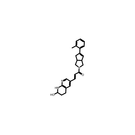 Cc1ccccc1C1=CC2CN(C(=O)/C=C/c3cnc4c(c3)CCC(O)N4)CC2C1